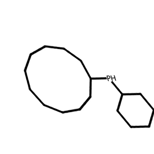 C1CCCCCC(PC2CCCCC2)CCCC1